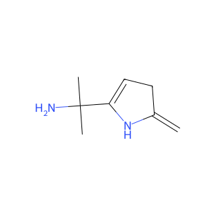 C=C1CC=C(C(C)(C)N)N1